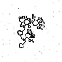 CC([C@@H](CN(C)C)N(Cc1cccc(CN2O[C@@H](CO)[C@@H]([C@H](C)O)[C@H]2C(=O)N[C@H]2C[C@@H](C)C(C)(C)[C@@H](C)[C@@H]2C)c1)CC1CCCC1)C(C)(C)C